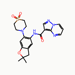 CC1(C)Cc2cc(NC(=O)c3cnn4cccnc34)c(N3CCS(=O)(=O)CC3)cc2O1